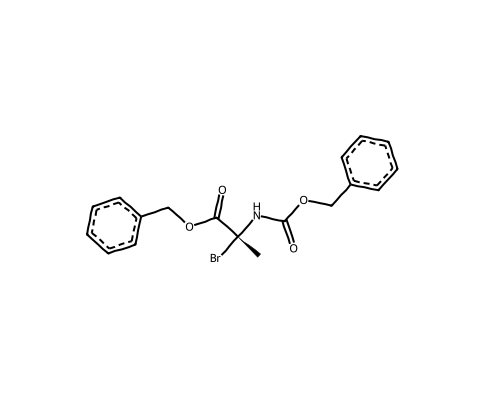 C[C@](Br)(NC(=O)OCc1ccccc1)C(=O)OCc1ccccc1